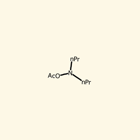 CCCN(CCC)OC(C)=O